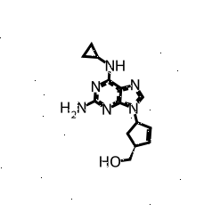 Nc1nc(NC2CC2)c2ncn(C3C=C[C@@H](CO)C3)c2n1